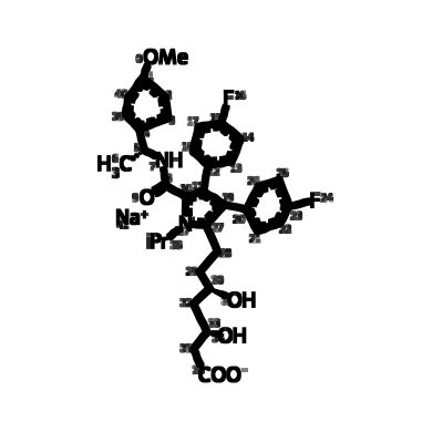 COc1ccc([C@@H](C)NC(=O)c2c(-c3ccc(F)cc3)c(-c3ccc(F)cc3)c(CC[C@@H](O)C[C@@H](O)CC(=O)[O-])n2C(C)C)cc1.[Na+]